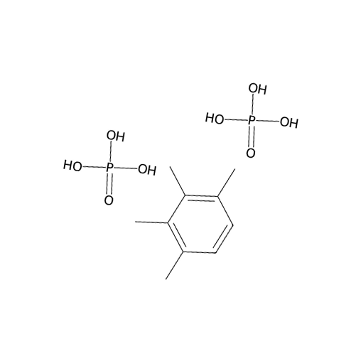 Cc1ccc(C)c(C)c1C.O=P(O)(O)O.O=P(O)(O)O